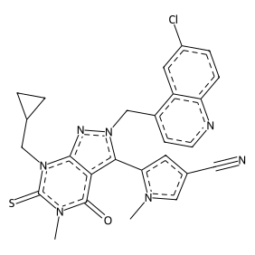 Cn1cc(C#N)cc1-c1c2c(=O)n(C)c(=S)n(CC3CC3)c2nn1Cc1ccnc2ccc(Cl)cc12